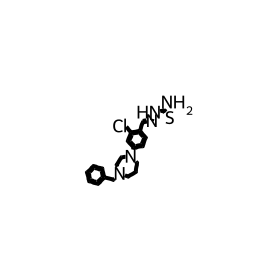 NC(=S)NN=Cc1ccc(N2CCCN(Cc3ccccc3)CC2)cc1Cl